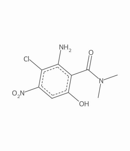 CN(C)C(=O)c1c(O)cc([N+](=O)[O-])c(Cl)c1N